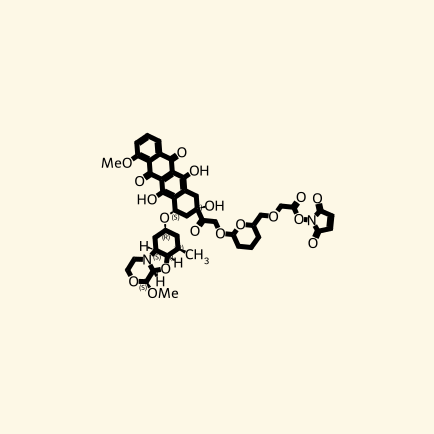 COc1cccc2c1C(=O)c1c(O)c3c(c(O)c1C2=O)C[C@@](O)(C(=O)COC1CCCC(COCC(=O)ON2C(=O)C=CC2=O)O1)C[C@@H]3O[C@@H]1C[C@@H](C)[C@H]2O[C@@H]3[C@@H](OC)OCCN3[C@H]2C1